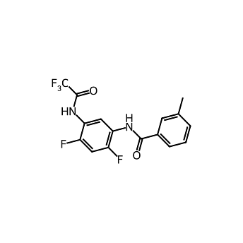 Cc1cccc(C(=O)Nc2cc(NC(=O)C(F)(F)F)c(F)cc2F)c1